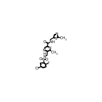 Cc1ncc(CNC(=O)c2cnc(CNS(=O)(=O)c3cc(Cl)ccc3F)c(C)n2)s1